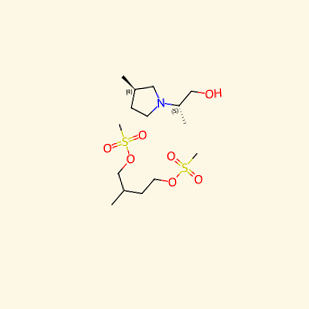 CC(CCOS(C)(=O)=O)COS(C)(=O)=O.C[C@@H]1CCN([C@@H](C)CO)C1